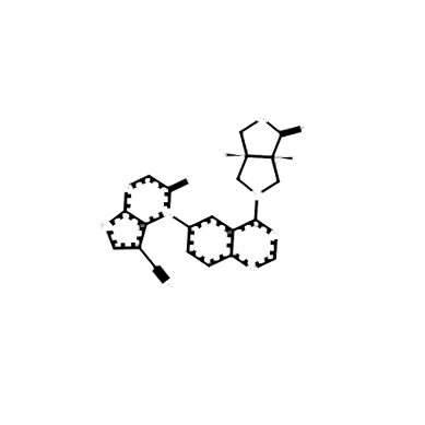 N#Cc1c[nH]c2ncc(=O)n(-c3ccc4ncnc(N5C[C@@H]6CNC(=O)[C@@H]6C5)c4c3)c12